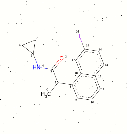 CC(C(=O)NC1CC1)c1cccc2ccc(I)cc12